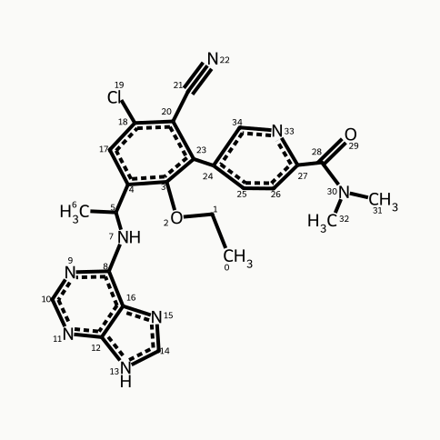 CCOc1c(C(C)Nc2ncnc3[nH]cnc23)cc(Cl)c(C#N)c1-c1ccc(C(=O)N(C)C)nc1